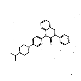 CC(C)N1CCN(c2ccc(-n3c(=O)c(-c4ccncc4)cc4ccccc43)cc2)CC1